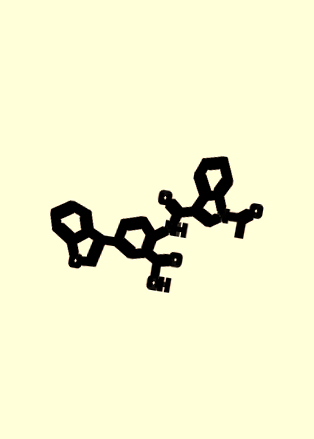 CC(=O)n1cc(C(=O)Nc2ccc(-c3coc4ccccc34)cc2C(=O)O)c2ccccc21